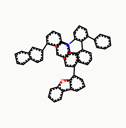 c1ccc(-c2ccccc2-c2c(-c3ccccc3)cccc2N(c2ccc(-c3cccc4c3oc3ccccc34)cc2)c2cccc(-c3ccc4ccccc4c3)c2)cc1